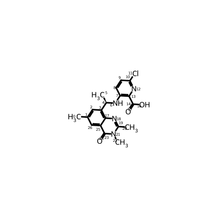 Cc1cc([C@@H](C)Nc2ccc(Cl)nc2C(=O)O)c2nc(C)n(C)c(=O)c2c1